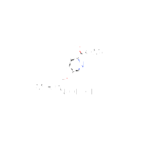 COC(=O)c1ncc(OCC(OC)N(C)O)cc1F